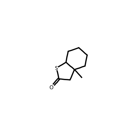 CC12CCCCC1SC(=O)C2